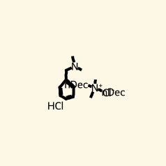 CCCCCCCCCC[N+](C)(C)CCCCCCCCCC.CN(C)Cc1ccccc1.Cl.[Cl-]